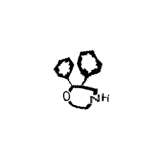 c1ccc([C@H]2CNCCO[C@H]2c2ccccc2)cc1